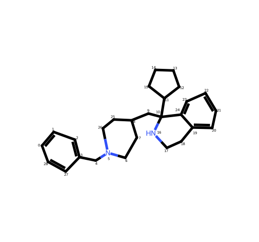 c1ccc(CN2CCC(CC3(C4CCCC4)NCCc4ccccc43)CC2)cc1